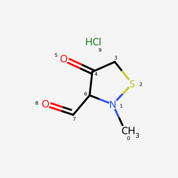 CN1SCC(=O)C1C=O.Cl